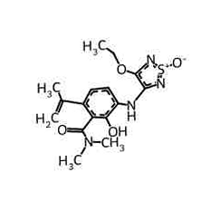 C=C(C)c1ccc(Nc2n[s+]([O-])nc2OCC)c(O)c1C(=O)N(C)C